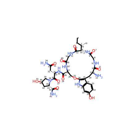 CC[C@H](C)[C@@H]1NC(=O)CNC(=O)[C@@H](N)Cc2c([nH]c3cc(O)ccc23)OC[C@@H](C(=O)N[C@@H](CC(N)=O)C(=O)N2C[C@H](O)C[C@H]2C(N)=O)NC(=O)CNC1=O